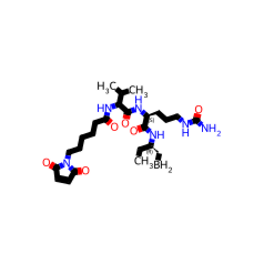 BC[C@H](CC)NC(=O)[C@H](CCCNC(N)=O)NC(=O)C(NC(=O)CCCCCN1C(=O)C=CC1=O)C(C)C